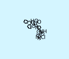 Cc1nn(C)c(Cl)c1S(=O)(=O)Nc1ccc(C(C(=O)O)C(=O)OC(Cc2ccccc2)c2ccccc2)nc1